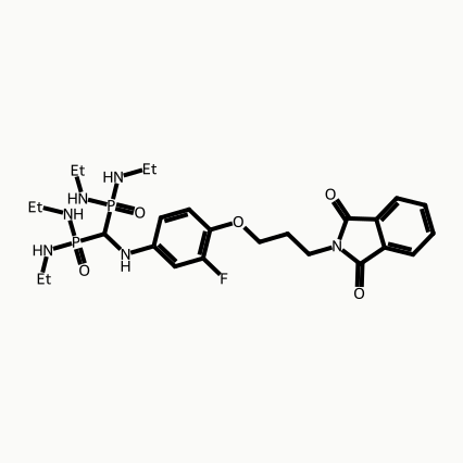 CCNP(=O)(NCC)C(Nc1ccc(OCCCN2C(=O)c3ccccc3C2=O)c(F)c1)P(=O)(NCC)NCC